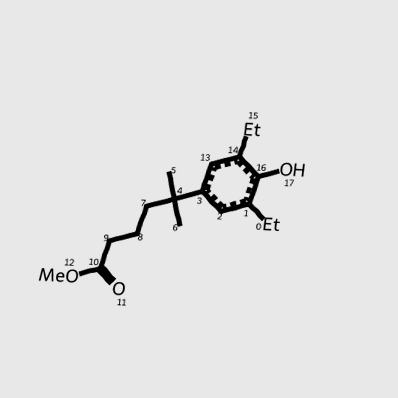 CCc1cc(C(C)(C)CCCC(=O)OC)cc(CC)c1O